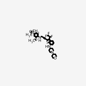 COc1cc(P(C)(C)=O)ccc1NCC#Cc1sc2c(NC3CCN(C4CCOCC4)CC3)cccc2c1C(F)C(F)F